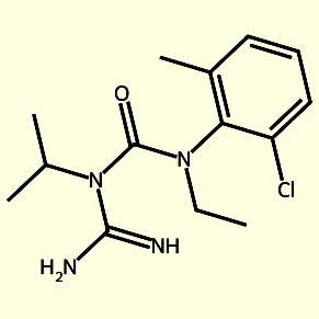 CCN(C(=O)N(C(=N)N)C(C)C)c1c(C)cccc1Cl